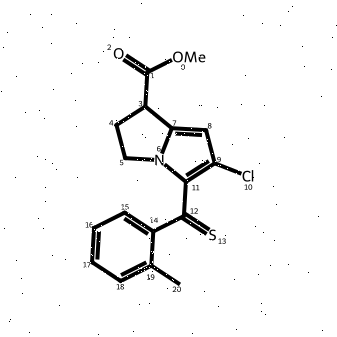 COC(=O)C1CCn2c1cc(Cl)c2C(=S)c1ccccc1C